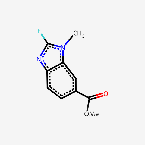 COC(=O)c1ccc2nc(F)n(C)c2c1